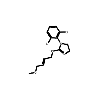 COCC=CCNC1=NCCN1c1c(Cl)cccc1Cl